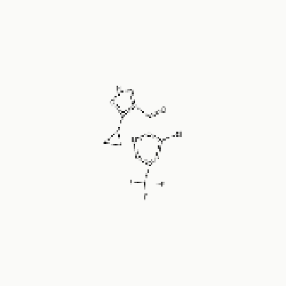 O=C(c1cnoc1C1CC1)c1ncc(C(F)(F)F)cc1Cl